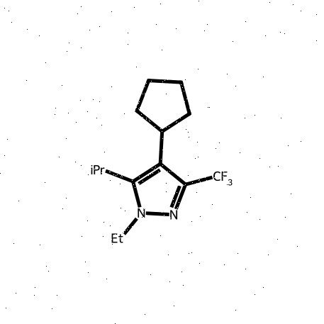 CCn1nc(C(F)(F)F)c(C2CCCC2)c1C(C)C